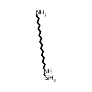 NCCCCCCCCCCCCCCCCCNC[SiH3]